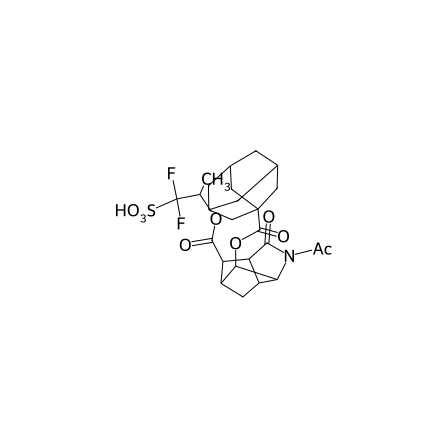 CC(=O)N1C(=O)C2C3CC(C(OC(=O)C45CC6CC(CC(C6)C4)C5)C31)C2C(=O)OC(C)C(F)(F)S(=O)(=O)O